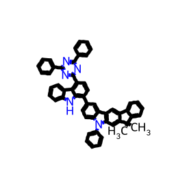 CC1(C)c2ccccc2-c2cc3c4cc(-c5ccc(-c6nc(-c7ccccc7)nc(-c7ccccc7)n6)c6c5[nH]c5ccccc56)ccc4n(-c4ccccc4)c3cc21